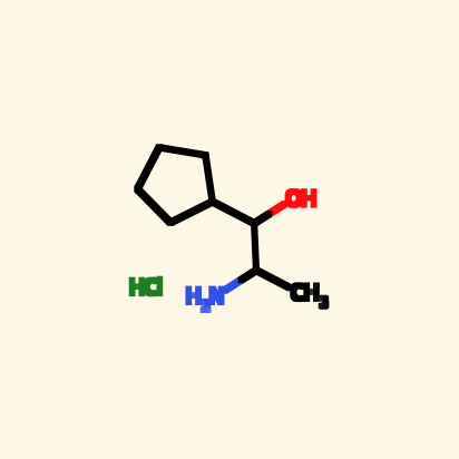 CC(N)C(O)C1CCCC1.Cl